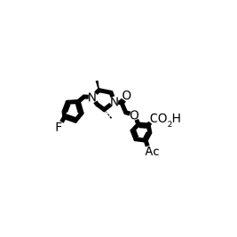 CC(=O)c1ccc(OCC(=O)N2C[C@H](C)N(Cc3ccc(F)cc3)C[C@H]2C)c(C(=O)O)c1